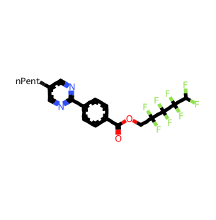 CCCCCc1cnc(-c2ccc(C(=O)OCC(F)(F)C(F)(F)C(F)(F)C(F)F)cc2)nc1